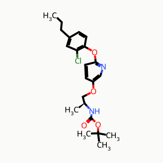 CCCc1ccc(Oc2ccc(OC[C@H](C)NC(=O)OC(C)(C)C)cn2)c(Cl)c1